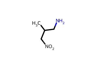 CC(CN)C[N+](=O)[O-]